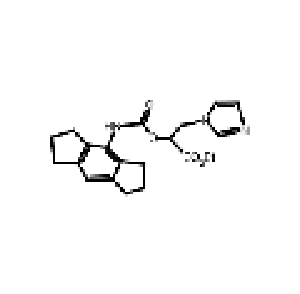 CCOC(=O)C(Cn1ccnc1)OC(=O)Nc1c2c(cc3c1CCC3)CCC2